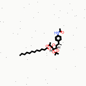 CCCCCCCCCCCCOC1(C(C)=O)O[C@H]([C@H](C)c2ccc(NC(C)=O)cc2)[C@@H]2OC(C)(C)O[C@@H]21